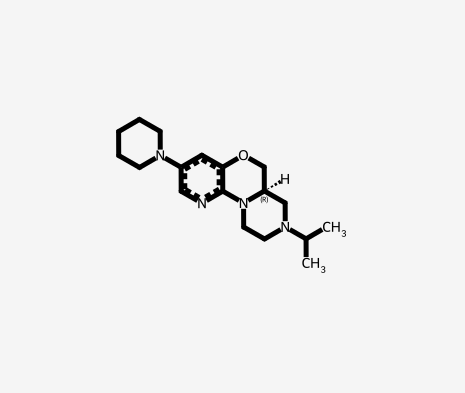 CC(C)N1CCN2c3ncc(N4CCCCC4)cc3OC[C@H]2C1